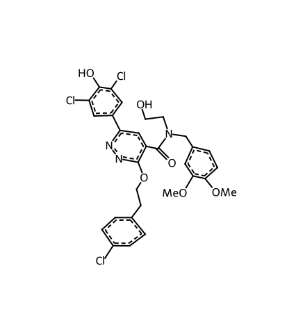 COc1ccc(CN(CCO)C(=O)c2cc(-c3cc(Cl)c(O)c(Cl)c3)nnc2OCCc2ccc(Cl)cc2)cc1OC